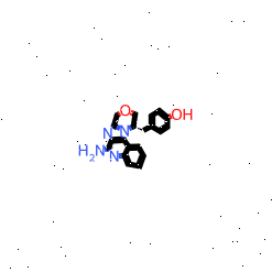 Nc1nc2ccccc2c2c1nc1n2[C@@H](Cc2ccc(O)cc2)COC1